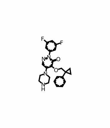 O=c1c(OCC2(c3ccccc3)CC2)c(N2CCNCC2)cnn1-c1cc(F)cc(F)c1